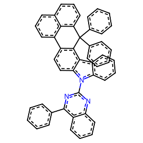 c1ccc(-c2nc(-n3c4ccccc4c4c5c(ccc43)-c3cccc4cccc(c34)C5(c3ccccc3)c3ccccc3)nc3ccccc23)cc1